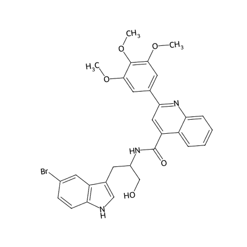 COc1cc(-c2cc(C(=O)NC(CO)Cc3c[nH]c4ccc(Br)cc34)c3ccccc3n2)cc(OC)c1OC